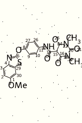 COc1ccc2nc(Oc3ccc(NC(=O)C4C(=O)N(C)C(=O)N(C)C4=O)cc3)sc2c1